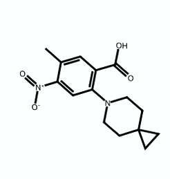 Cc1cc(C(=O)O)c(N2CCC3(CC2)CC3)cc1[N+](=O)[O-]